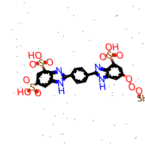 O=S(=O)(O)c1cc(S(=O)(=O)O)c2nc(-c3ccc(-c4nc5c(S(=O)(=O)O)cc(OOOS)cc5[nH]4)cc3)[nH]c2c1